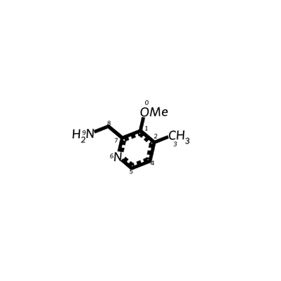 COc1c(C)ccnc1CN